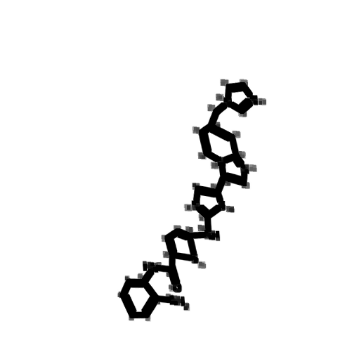 Nc1ccccc1NC(=O)c1ccc(Nc2ncc(-c3cnc4cc(Cn5ccnc5)ccn34)s2)s1